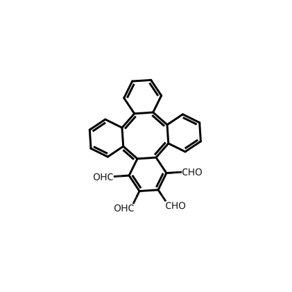 O=Cc1c(C=O)c(C=O)c2/c(c1C=O)=c1/cccc/c1=c1\cccc\c1=c1/cccc/c1=2